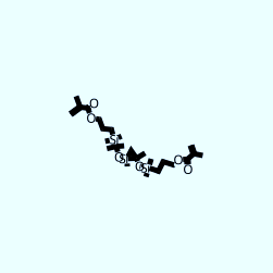 C=C(C)C(=O)OCCC[Si](C)(C)OC1(C)C[Si]1(C)OC(C)(C)[Si](C)(C)CCCOC(=O)C(=C)C